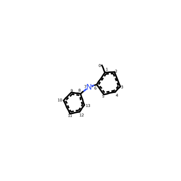 Cc1ccccc1[N]c1ccccc1